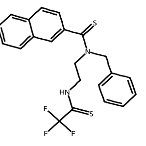 FC(F)(F)C(=S)NCCN(Cc1ccccc1)C(=S)c1ccc2ccccc2c1